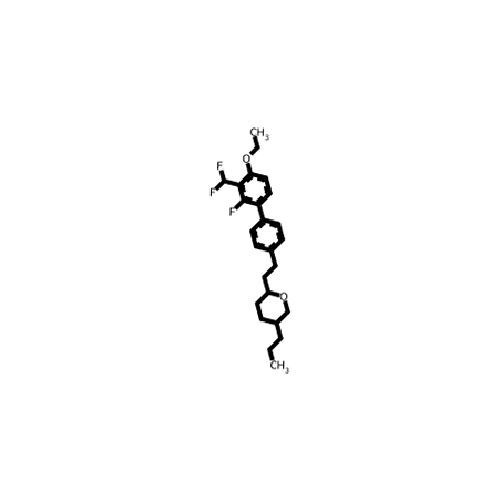 CCCC1CCC(CCc2ccc(-c3ccc(OCC)c(C(F)F)c3F)cc2)OC1